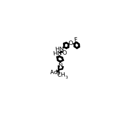 CC(=O)N(C)C1CCN(c2ccc(NC(=O)Nc3ccc(Oc4ccccc4F)cc3)cc2)C1